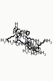 C[C@H](NC(=O)[C@@H](NC(=O)[C@@H](N)CCCCN)[C@@H](O)CN)C(=O)NCC(=O)/N=C(\CCCN)C(=O)N1CCC[C@H]1C(=O)N[C@@H](Cc1cnc[nH]1)C(=O)N[C@@H](CCCCCN)C(=O)/N=C(\CCCNC(=N)N)C(N)=O